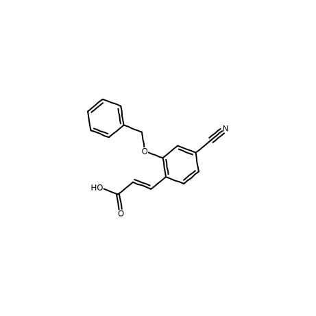 N#Cc1ccc(C=CC(=O)O)c(OCc2ccccc2)c1